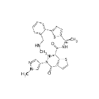 CNCc1ccccc1-c1ccc([C@@H](C)NC(=O)c2nn(-c3cnn(C)c3)c(=O)c3ccsc23)s1